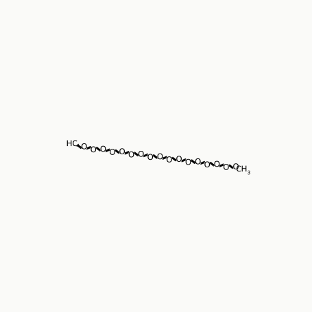 C#CCOCCOCCOCCOCCOCCOCCOCCOCCOCCOCCOCCOCCOCCOCCOCCOCCOC